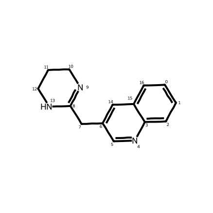 c1ccc2ncc(CC3=NCCCN3)cc2c1